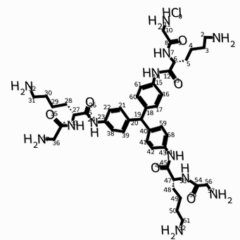 Cl.NCCCC[C@@H](NC(=O)CN)C(=O)Nc1ccc(C(c2ccc(NC(=O)[C@@H](CCCCN)NC(=O)CN)cc2)c2ccc(NC(=O)[C@@H](CCCCN)NC(=O)CN)cc2)cc1